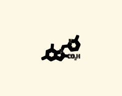 Cc1cc(C)c2c(c1)cc(C(=O)O)n2Cc1cccc(C)n1